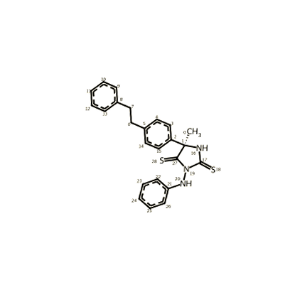 C[C@]1(c2ccc(CCc3ccccc3)cc2)NC(=S)N(Nc2ccccc2)C1=S